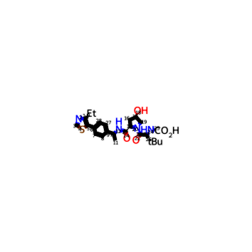 CCc1ncsc1-c1ccc(C(C)NC(=O)[C@@H]2C[C@@H](O)CN2C(=O)C(NC(=O)O)C(C)(C)C)cc1